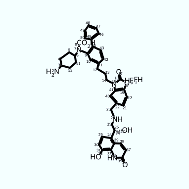 F.F.NC1CCC(N(C(=O)O)c2cc(CCCn3c(=O)oc4ccc(CNC[C@H](O)c5ccc(O)c6[nH]c(=O)ccc56)cc43)ccc2-c2ccccc2)CC1